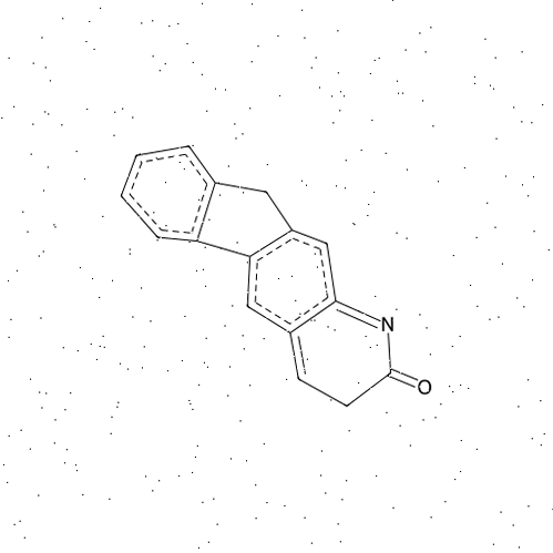 O=C1CC=c2cc3c(cc2=N1)Cc1ccccc1-3